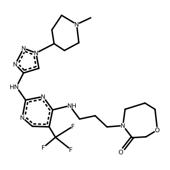 CN1CCC(n2cc(Nc3ncc(C(F)(F)F)c(NCCCN4CCCOCC4=O)n3)nn2)CC1